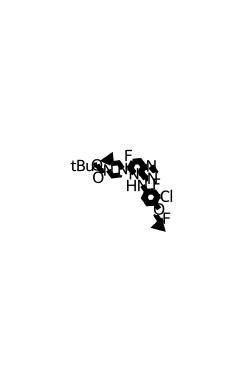 CC(C)(C)OC(=O)N1CCN(c2nc3c(Nc4ccc(OCC5(F)CC5)c(Cl)c4F)ncnc3cc2F)CC12CC2